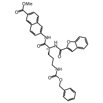 COC(=O)c1ccc2cc(NC(=O)[C@H](CCCNC(=O)OCc3ccccc3)NC(=O)c3cc4ccccc4o3)ccc2c1